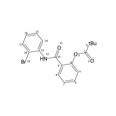 CC(C)(C)C(=O)Oc1ccccc1C(=O)Nc1ccccc1Br